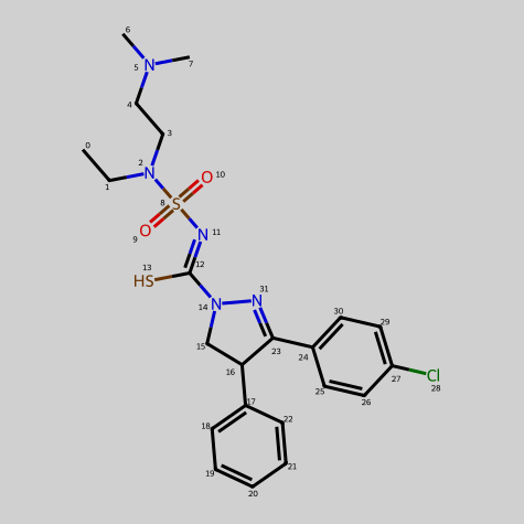 CCN(CCN(C)C)S(=O)(=O)/N=C(\S)N1CC(c2ccccc2)C(c2ccc(Cl)cc2)=N1